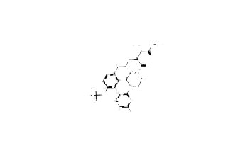 O=C(NO)[C@@H](O)C(CCCc1ccc(OC(F)(F)F)cc1)C(=O)N1CCN(c2cccc(Cl)n2)CC1